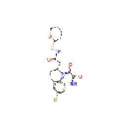 O=C(CC1CCc2cc(Br)cc3[nH]c(=O)c(=O)n1c23)NOC1CCCCO1